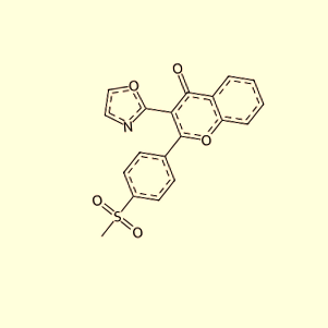 CS(=O)(=O)c1ccc(-c2oc3ccccc3c(=O)c2-c2ncco2)cc1